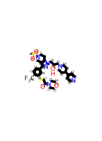 CS(=O)(=O)N1CCc2c(c(-c3ccc(C(F)(F)F)c(SCC(=O)N4CCOCC4)c3)nn2CC(O)CN2CCC(c3ccncc3)CC2)C1